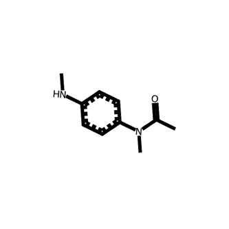 CNc1ccc(N(C)C(C)=O)cc1